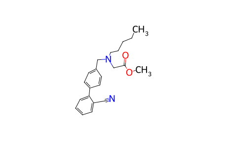 CCCCCN(CC(=O)OC)Cc1ccc(-c2ccccc2C#N)cc1